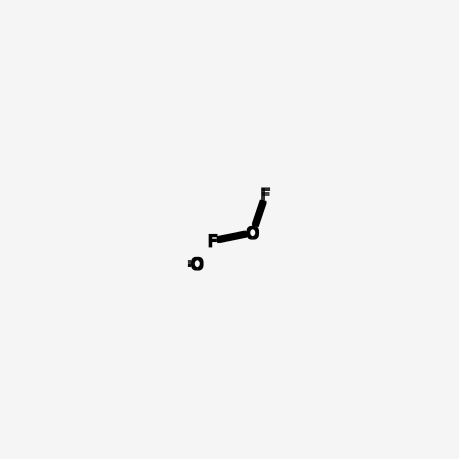 FOF.[O]